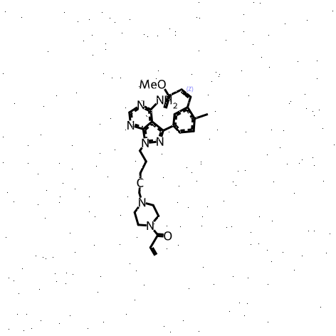 C=CC(=O)N1CCN(CCCCCn2nc(-c3ccc(C)c(/C=C\C(=C)OC)c3)c3c(N)ncnc32)CC1